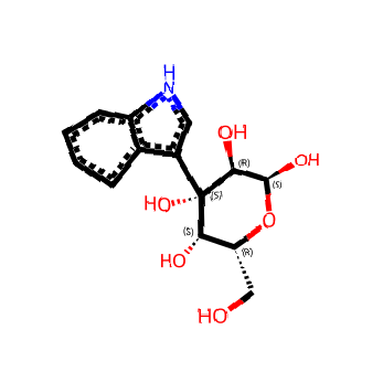 OC[C@H]1O[C@H](O)[C@H](O)[C@](O)(c2c[nH]c3ccccc23)[C@H]1O